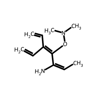 C=CC(C=C)=C(ON(C)C)/C(N)=C\C